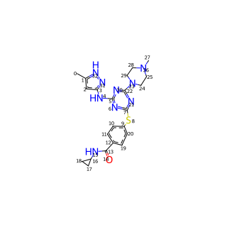 Cc1cc(Nc2nc(Sc3ccc(C(=O)NC4CC4)cc3)nc(N3CCN(C)CC3)n2)n[nH]1